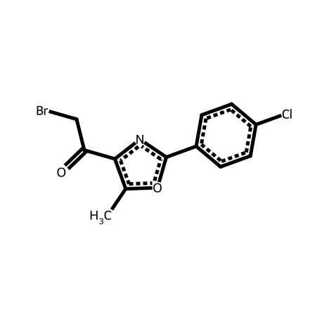 Cc1oc(-c2ccc(Cl)cc2)nc1C(=O)CBr